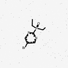 CCP(=O)(CC)c1ncc(Br)cn1